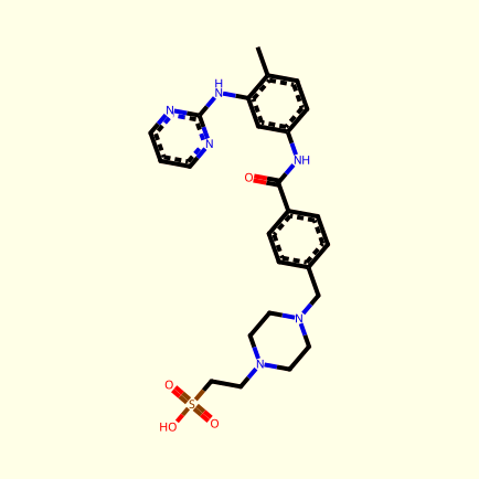 Cc1ccc(NC(=O)c2ccc(CN3CCN(CCS(=O)(=O)O)CC3)cc2)cc1Nc1ncccn1